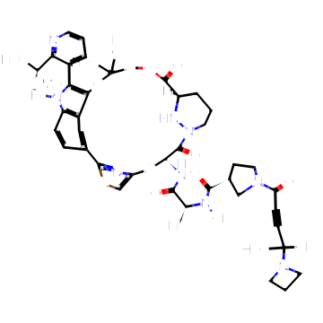 CCn1c(-c2cccnc2[C@H](C)OC)c2c3cc(ccc31)-c1nc(cs1)C[C@H](NC(=O)[C@H](C(C)C)N(C)C(=O)[C@H]1CCN(C(=O)C#CC(C)(C)N3CCC3)C1)C(=O)N1CCC[C@H](N1)C(=O)OCC(C)(C)C2